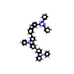 c1ccc(-c2nc(-c3ccccc3)nc(-c3ccc4sc5ccc(-c6ccc7c8cc(-c9ccc%10c(c9)c9ccccc9n%10-c9ccccc9)ccc8n(-c8ccccc8)c7c6)cc5c4c3)n2)cc1